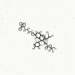 Cc1ccc(-c2c(CNC(=O)OC(C)(C)C)c(CC(C)C)nc3ccc(OCCCCCC(=O)O)cc23)cc1